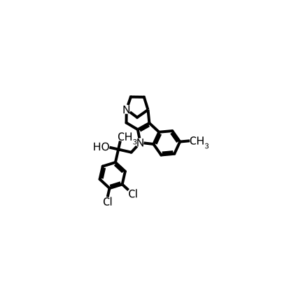 Cc1ccc2c(c1)c1c(n2CC(C)(O)c2ccc(Cl)c(Cl)c2)CN2CCC1C2